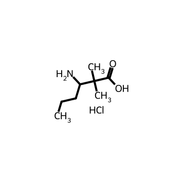 CCCC(N)C(C)(C)C(=O)O.Cl